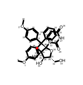 COc1ccc(C(c2ccccc2)(c2ccc(OC)cc2)[C@@]2(n3ccc(=O)[nH]c3=O)O[C@H](CO)[C@@H](O)[C@]2(O)F)cc1